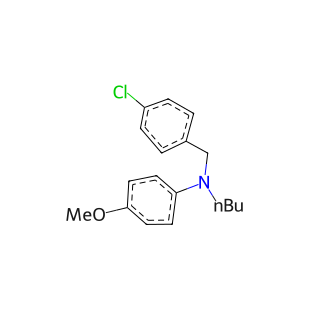 CCCCN(Cc1ccc(Cl)cc1)c1ccc(OC)cc1